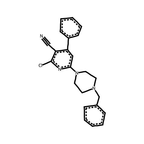 N#Cc1c(-c2ccccc2)cc(N2CCN(Cc3ccccc3)CC2)nc1Cl